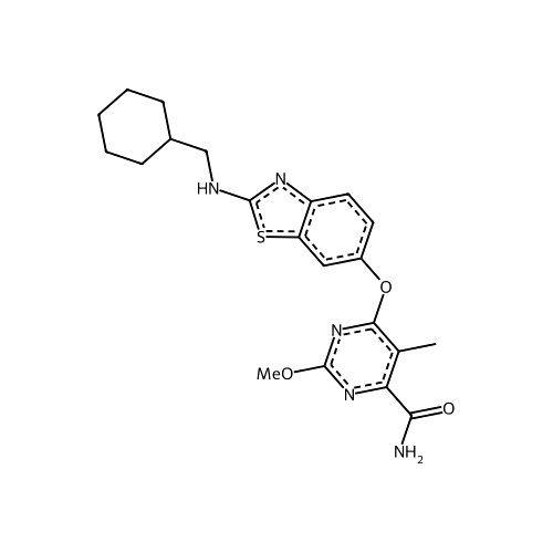 COc1nc(Oc2ccc3nc(NCC4CCCCC4)sc3c2)c(C)c(C(N)=O)n1